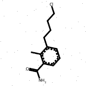 Cc1c(CCCCCl)cccc1C(N)=O